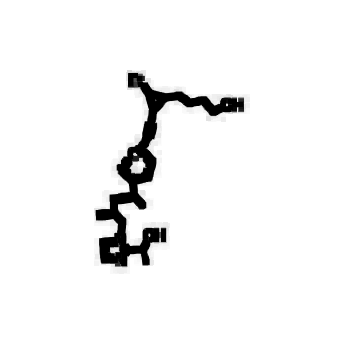 C=C(/C=C(\C)c1ccc(C#CC2C(CC)C2CCCCO)cc1)Cn1ccnc1[C@H](C)O